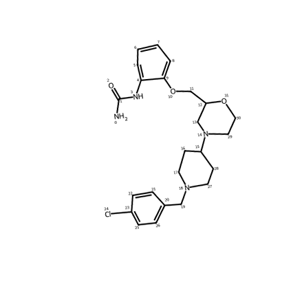 NC(=O)Nc1ccccc1OCC1CN(C2CCN(Cc3ccc(Cl)cc3)CC2)CCO1